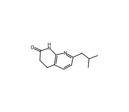 CC(C)Cc1ccc2c(n1)NC(=O)CC2